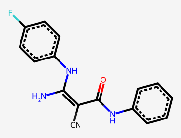 N#C/C(C(=O)Nc1ccccc1)=C(\N)Nc1ccc(F)cc1